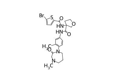 Cc1cc(NC(=O)C2(NC(=O)c3ccc(Br)s3)CCOC2)ccc1N1CCCN(C)CC1=O